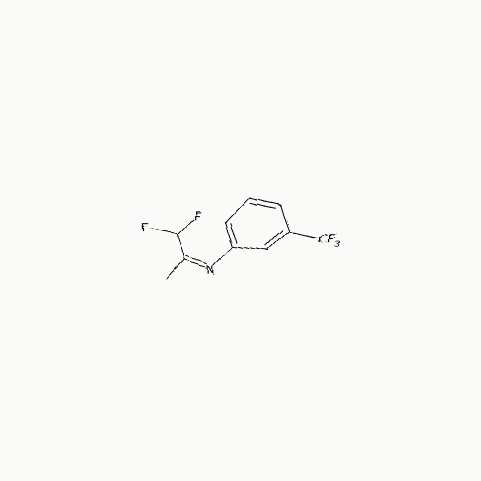 CC(=Nc1cccc(C(F)(F)F)c1)C(F)F